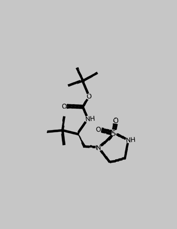 CC(C)(C)OC(=O)N[C@@H](CN1CCNS1(=O)=O)C(C)(C)C